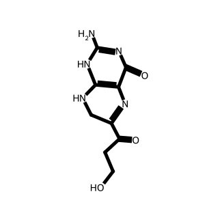 Nc1nc(=O)c2c([nH]1)NCC(C(=O)CCO)=N2